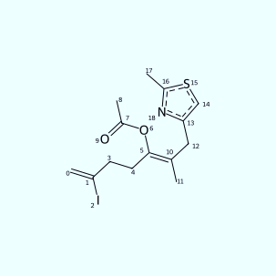 C=C(I)CCC(OC(C)=O)=C(C)Cc1csc(C)n1